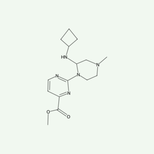 COC(=O)c1ccnc(N2CCN(C)CC2NC2CCC2)n1